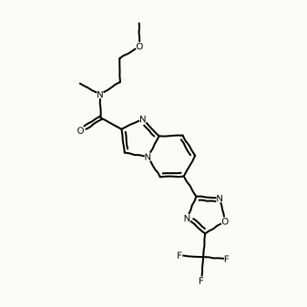 COCCN(C)C(=O)c1cn2cc(-c3noc(C(F)(F)F)n3)ccc2n1